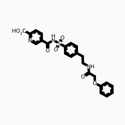 O=C(COc1ccccc1)NCCc1ccc(S(=O)(=O)NC(=O)c2ccc(C(=O)O)nc2)cc1